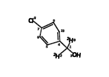 [2H]C([2H])(O)c1ccc(Cl)cc1